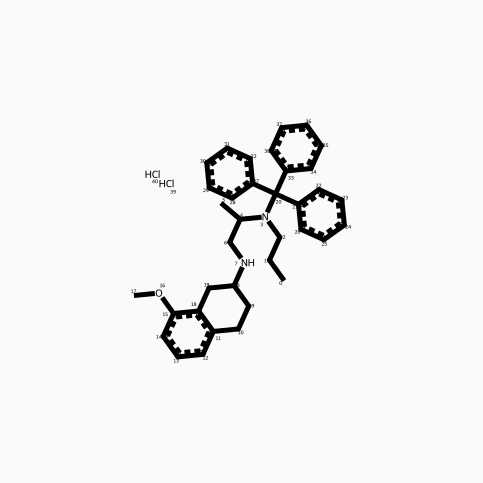 CCCN(C(C)CNC1CCc2cccc(OC)c2C1)C(c1ccccc1)(c1ccccc1)c1ccccc1.Cl.Cl